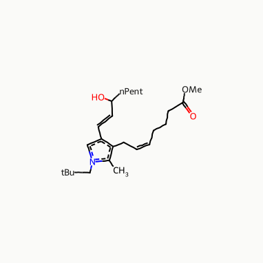 CCCCCC(O)/C=C/c1cn(CC(C)(C)C)c(C)c1C/C=C\CCCC(=O)OC